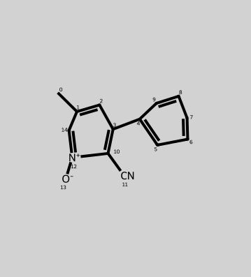 Cc1cc(-c2ccccc2)c(C#N)[n+]([O-])c1